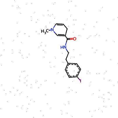 CN1C=CCC(C(=O)NCCc2ccc(I)cc2)=C1